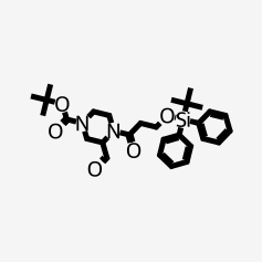 CC(C)(C)OC(=O)N1CCN(C(=O)CCO[Si](c2ccccc2)(c2ccccc2)C(C)(C)C)C(C=O)C1